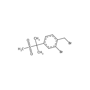 CC(C)(c1ccc(CBr)c(Br)c1)S(C)(=O)=O